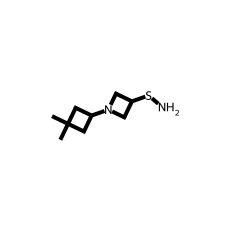 CC1(C)CC(N2CC(SN)C2)C1